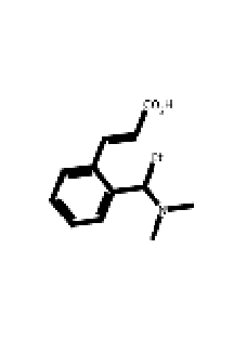 CCC(c1ccccc1/C=C/C(=O)O)N(C)C